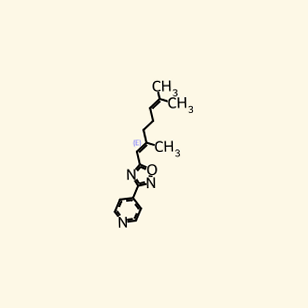 CC(C)=CCC/C(C)=C/c1nc(-c2ccncc2)no1